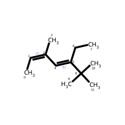 C/C=C(C)\C=C(/CC)C(C)(C)C